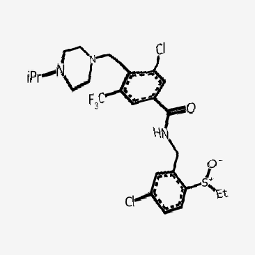 CC[S+]([O-])c1ccc(Cl)cc1CNC(=O)c1cc(Cl)c(CN2CCN(C(C)C)CC2)c(C(F)(F)F)c1